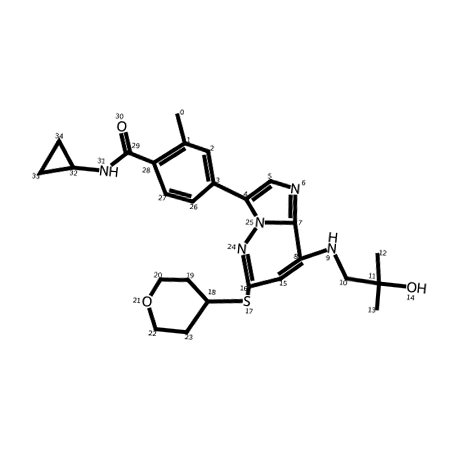 Cc1cc(-c2cnc3c(NCC(C)(C)O)cc(SC4CCOCC4)nn23)ccc1C(=O)NC1CC1